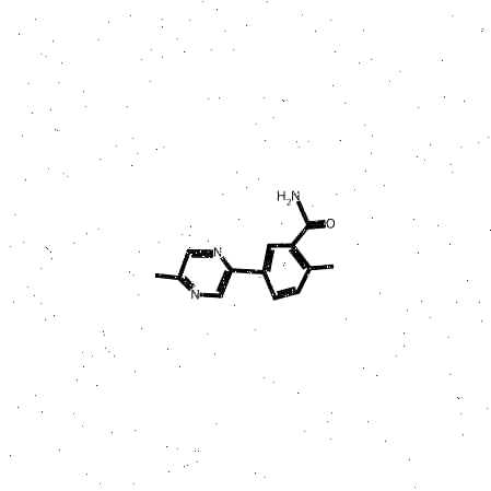 Cc1cnc(-c2ccc(C)c(C(N)=O)c2)cn1